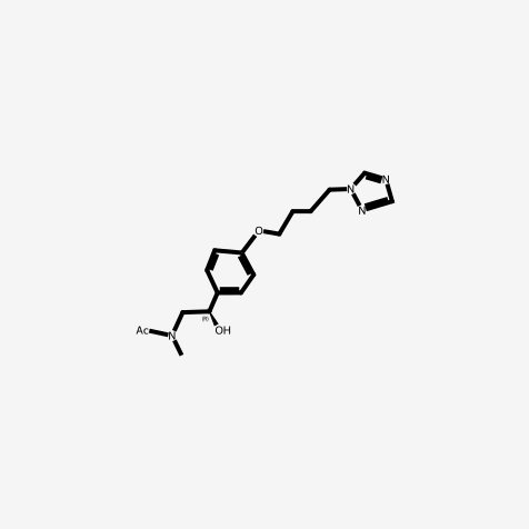 CC(=O)N(C)C[C@H](O)c1ccc(OCCCCn2cncn2)cc1